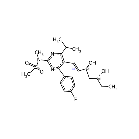 CC[C@@H](O)C[C@H](O)/C=C/c1c(-c2ccc(F)cc2)nc(N(C)S(C)(=O)=O)nc1C(C)C